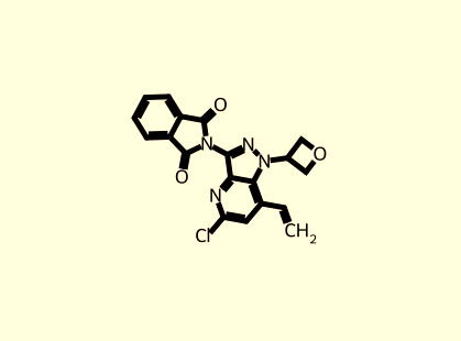 C=Cc1cc(Cl)nc2c(N3C(=O)c4ccccc4C3=O)nn(C3COC3)c12